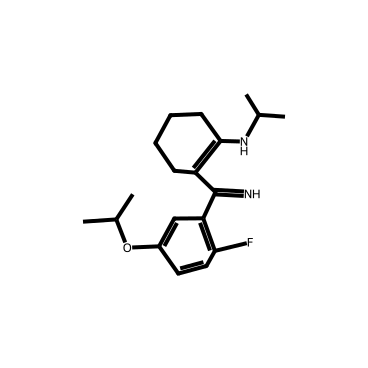 CC(C)NC1=C(C(=N)c2cc(OC(C)C)ccc2F)CCCC1